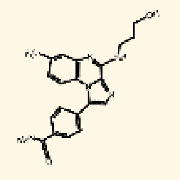 CNC(=O)c1ccc(-c2cnc3c(NCCCO)nc4cc(C(F)(F)F)ccc4n23)cc1